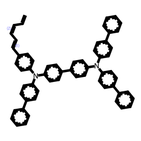 C=C/C=C\C=C\c1ccc(N(c2ccc(-c3ccccc3)cc2)c2ccc(-c3ccc(N(c4ccc(-c5ccccc5)cc4)c4ccc(-c5ccccc5)cc4)cc3)cc2)cc1